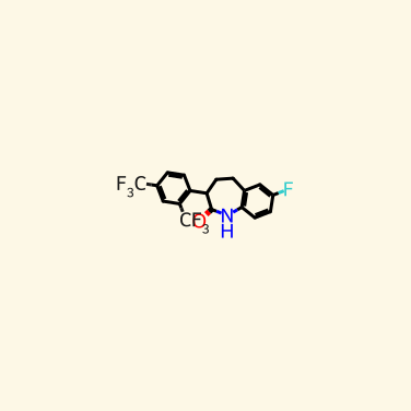 O=C1Nc2ccc(F)cc2CCC1c1ccc(C(F)(F)F)cc1C(F)(F)F